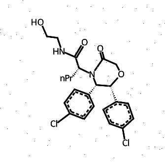 CCC[C@H](C(=O)NCCO)N1C(=O)CO[C@H](c2ccc(Cl)cc2)[C@@H]1c1ccc(Cl)cc1